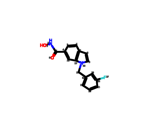 O=C(NO)c1ccc2ccn(Cc3cccc(F)c3)c2c1